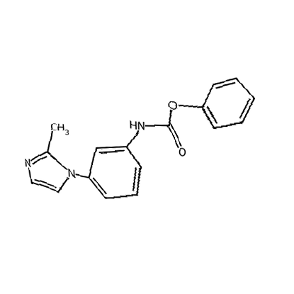 Cc1nccn1-c1cccc(NC(=O)Oc2ccccc2)c1